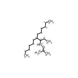 CCCCCCC(CCCCCC)C(CC)POC(C)C